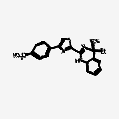 CCC1(CC)N=C(c2nc(-c3ccc(C(=O)O)cc3)cs2)Nc2ccccc21